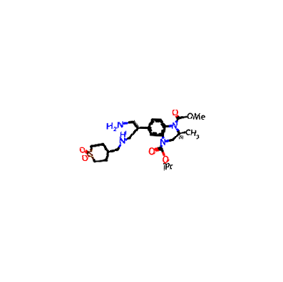 COC(=O)N1c2ccc(C(CN)CNCC3CCS(=O)(=O)CC3)cc2N(C(=O)OC(C)C)C[C@@H]1C